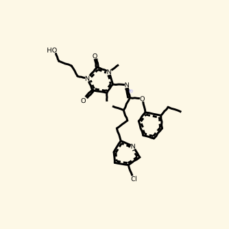 CCc1ccccc1O/C(=N/c1c(C)c(=O)n(CCCO)c(=O)n1C)C(C)CCc1ccc(Cl)cn1